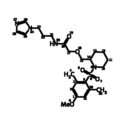 COc1cc(C)c(S(=O)(=O)N2CCCCC2COCC(=O)NCCCn2ccnc2)c(C)c1